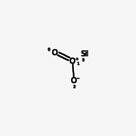 O=[O+][O-].[Si]